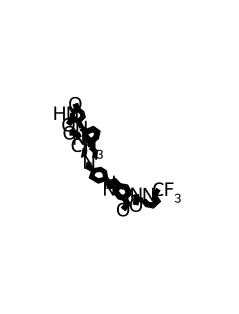 Cn1c(=O)n(C2CCC(=O)NC2=O)c2cccc(N3CCN(CC4CCC(n5cc6cc7nc(-c8cccc(C(F)(F)F)n8)oc(=O)c7cc6n5)CC4)CC3)c21